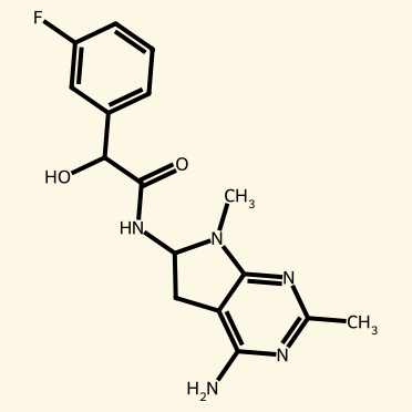 Cc1nc(N)c2c(n1)N(C)C(NC(=O)C(O)c1cccc(F)c1)C2